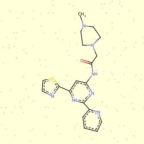 CN1CCN(CC(=O)Nc2cc(-c3nccs3)nc(-c3ccccn3)n2)CC1